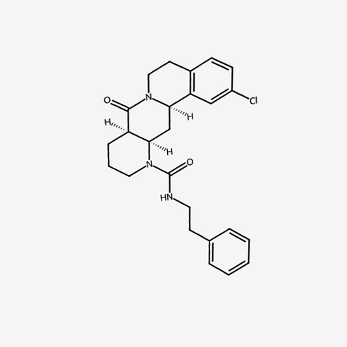 O=C1[C@@H]2CCCN(C(=O)NCCc3ccccc3)[C@@H]2C[C@@H]2c3cc(Cl)ccc3CCN12